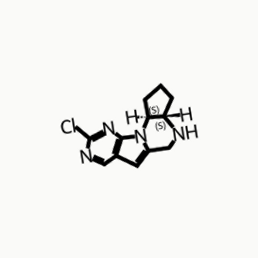 Clc1ncc2cc3n(c2n1)[C@H]1CCC[C@@H]1NC3